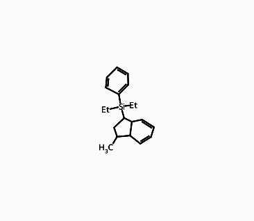 CC[Si](CC)(c1ccccc1)C1CC(C)C2C=CC=CC21